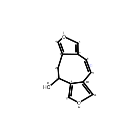 OC1Cc2cocc2/C=C\c2cocc21